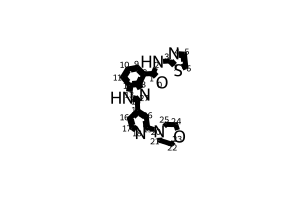 O=C(Nc1nccs1)c1cccc2[nH]c(-c3ccnc(N4CCOCC4)c3)nc12